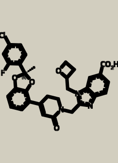 C[C@@]1(c2ccc(Cl)cc2F)Oc2cccc(C3=CC(=O)N(Cc4nc5ccc(C(=O)O)cc5n4CC4CCO4)CC3)c2O1